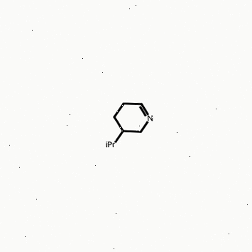 CC(C)C1CCC=NC1